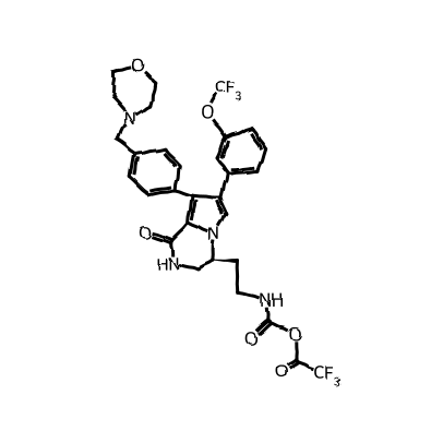 O=C(NCC[C@H]1CNC(=O)c2c(-c3ccc(CN4CCOCC4)cc3)c(-c3cccc(OC(F)(F)F)c3)cn21)OC(=O)C(F)(F)F